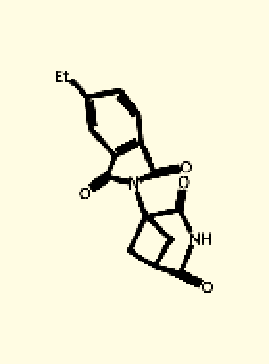 CCc1ccc2c(c1)C(=O)N(C13CC(C1)C(=O)NC3=O)C2=O